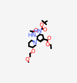 CCOC(=O)C1=C[C@@H](N2CCC[C@@H](OCCOC)C2)[C@H](NC(C)=O)[C@@H](NC(=O)OC(C)(C)C)C1